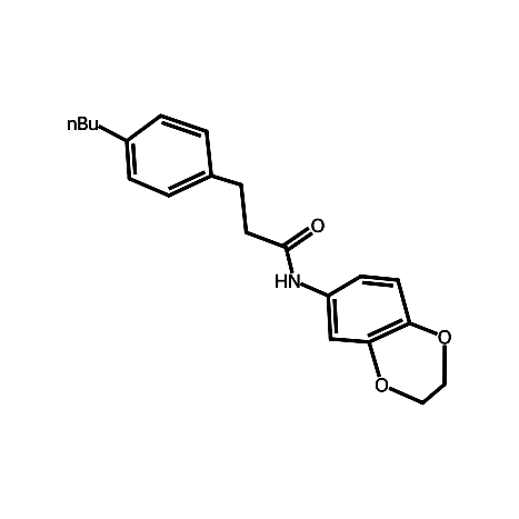 CCCCc1ccc(CCC(=O)Nc2ccc3c(c2)OCCO3)cc1